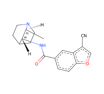 C[C@H]1[C@H](NC(=O)c2ccc3occ(C#N)c3c2)C2CCN1CC2